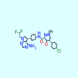 CC(C)n1cc(-c2ccc(Cl)cc2)c(=O)c(C(=O)Nc2ccc(-c3cn(CC(F)F)c4ncnc(N)c34)cc2)n1